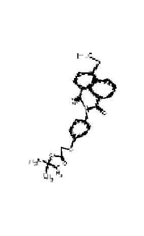 COc1ccc2c3c(cccc13)C(=O)N(c1ccc(OCC(=O)OC(C)(C)C)cc1)C2=O